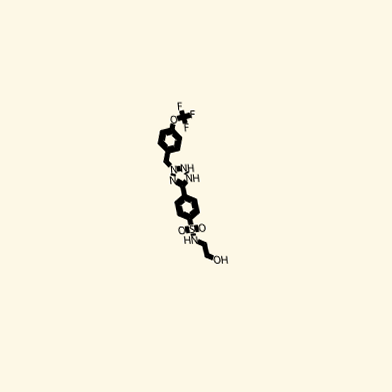 O=S(=O)(NCCO)c1ccc(C2=NN(Cc3ccc(OC(F)(F)F)cc3)NN2)cc1